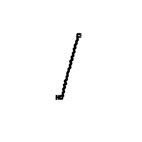 CCCCCCCCCCCCCCCCCCCCCCCCCCCCCCO.[C]